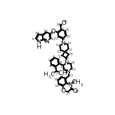 CC(C)c1ccccc1C1CN(Cc2cccc3c2N(C)C(=O)CO3)CCN1C1CC2(CCN(c3ccc(C=O)c(Oc4cnc5[nH]ccc5c4)c3)CC2)C1